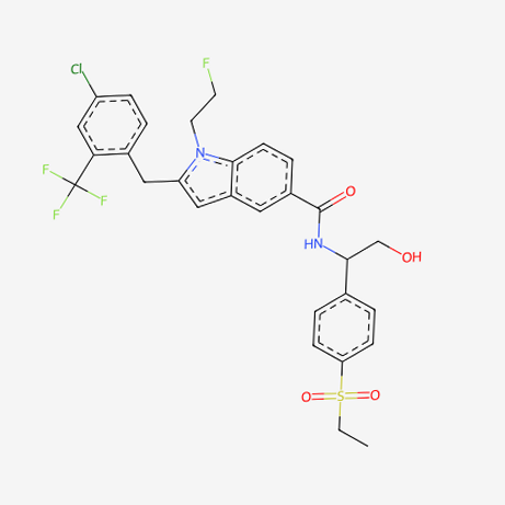 CCS(=O)(=O)c1ccc(C(CO)NC(=O)c2ccc3c(c2)cc(Cc2ccc(Cl)cc2C(F)(F)F)n3CCF)cc1